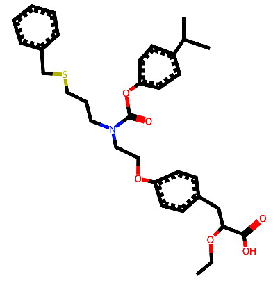 CCOC(Cc1ccc(OCCN(CCCSCc2ccccc2)C(=O)Oc2ccc(C(C)C)cc2)cc1)C(=O)O